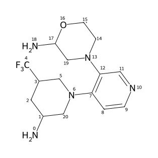 NC1CC(C(F)(F)F)CN(c2ccncc2N2C[CH]OC(N)C2)C1